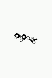 Cc1nc(COc2ccn(-c3cccnc3)c(=O)c2)co1